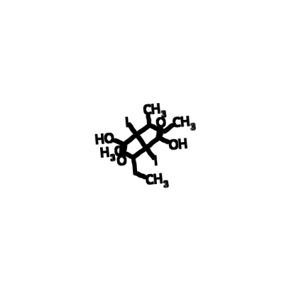 CCC(C)C(I)(C(=O)O)C(I)(C(=O)O)C(C)CC